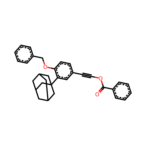 O=C(OC#Cc1ccc(OCc2ccccc2)c(C23CC4CC(CC(C4)C2)C3)c1)c1ccccc1